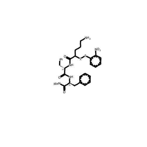 CNC(=O)[C@H](Cc1ccccc1)NC(=O)[C@H](CC(C)C)NC(=O)C(CCCN)SSc1ccccc1[N+](=O)[O-]